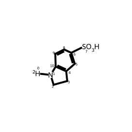 [2H]N1CCc2cc(S(=O)(=O)O)ccc21